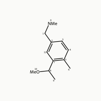 CNCc1ccc(C)c(C(C)OC)c1